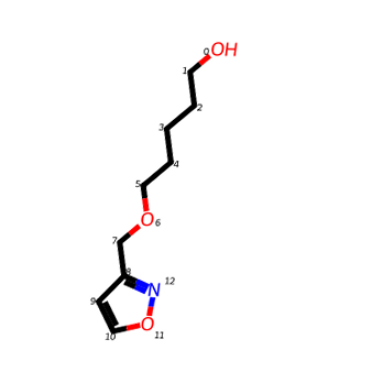 OCCCCCOCc1ccon1